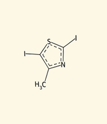 Cc1nc(I)sc1I